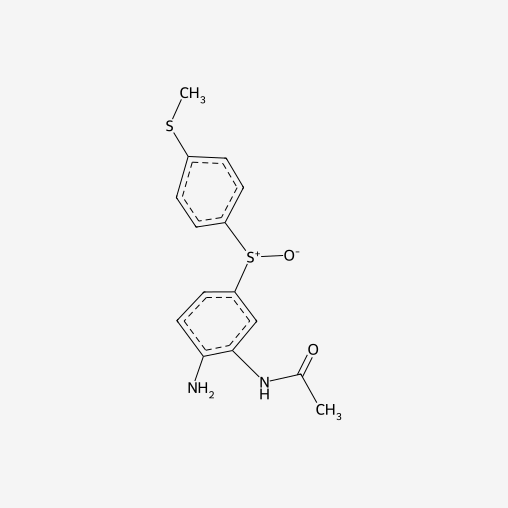 CSc1ccc([S+]([O-])c2ccc(N)c(NC(C)=O)c2)cc1